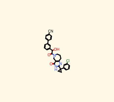 N#Cc1ccc(-c2cccc(C(O)C(=O)N3CCCc4nc(C5(c6cccc(Cl)c6)CC5)[nH]c(=O)c4C3)c2)cc1